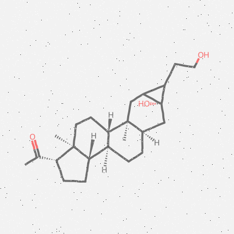 CC(=O)[C@H]1CC[C@H]2[C@@H]3CC[C@@H]4C[C@]5(O)C(CCO)C5C[C@]4(C)[C@H]3CC[C@]12C